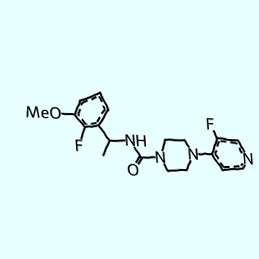 COc1cccc(C(C)NC(=O)N2CCN(c3ccncc3F)CC2)c1F